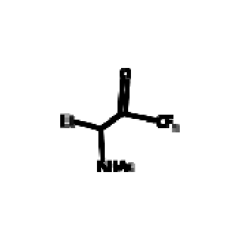 CCC(NC(C)=O)C(=O)C(F)(F)F